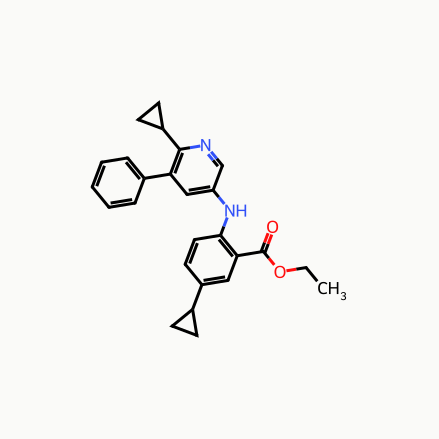 CCOC(=O)c1cc(C2CC2)ccc1Nc1cnc(C2CC2)c(-c2ccccc2)c1